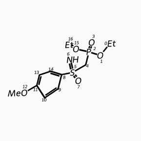 CCOP(=O)(CS(=N)(=O)c1ccc(OC)cc1)OCC